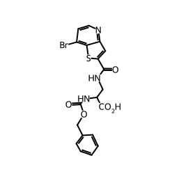 O=C(NC(CNC(=O)c1cc2nccc(Br)c2s1)C(=O)O)OCc1ccccc1